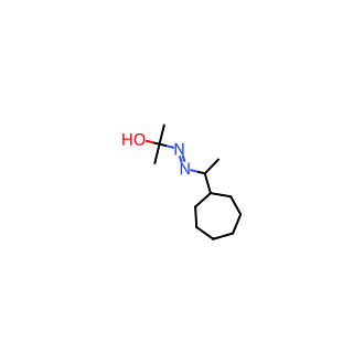 CC(N=NC(C)(C)O)C1CCCCCC1